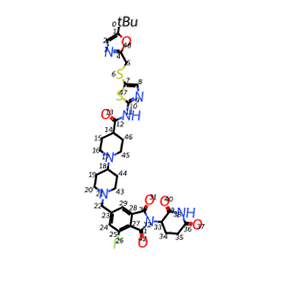 CC(C)(C)c1cnc(CSc2cnc(NC(=O)C3CCN(C4CCN(Cc5cc(F)c6c(c5)C(=O)N(C5CCC(=O)NC5=O)C6=O)CC4)CC3)s2)o1